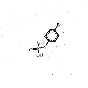 O=P(O)(O)Nc1ccc(Br)cc1